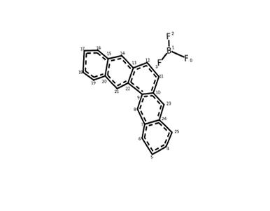 FB(F)F.c1ccc2cc3c(ccc4cc5ccccc5cc43)cc2c1